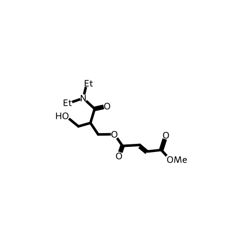 CCN(CC)C(=O)C(CO)COC(=O)/C=C/C(=O)OC